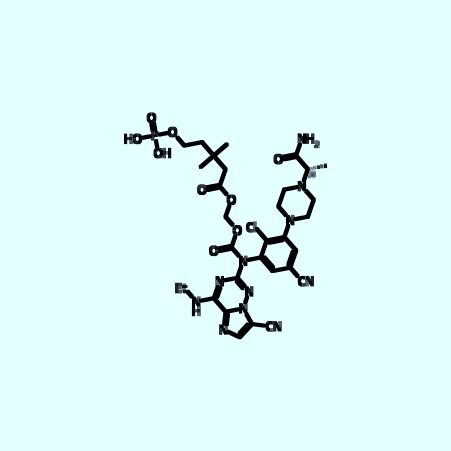 CCNc1nc(N(C(=O)OCOC(=O)CC(C)(C)CCOP(=O)(O)O)c2cc(C#N)cc(N3CCN([C@@H](C)C(N)=O)CC3)c2Cl)nn2c(C#N)cnc12